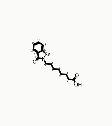 O=C(O)CCCCCCCn1[se]c2ccccc2c1=O